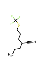 C#CC(CCC)CCCSC(F)(F)F